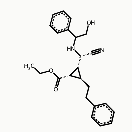 CCOC(=O)[C@H]1[C@H](CCc2ccccc2)[C@H]1[C@@H](C#N)NC(CO)c1ccccc1